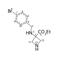 CCOC(=O)C1(NCc2ccc(Br)cc2)CNC1